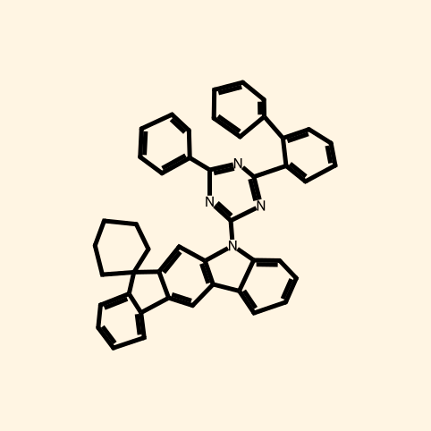 c1ccc(-c2nc(-c3ccccc3-c3ccccc3)nc(-n3c4ccccc4c4cc5c(cc43)C3(CCCCC3)c3ccccc3-5)n2)cc1